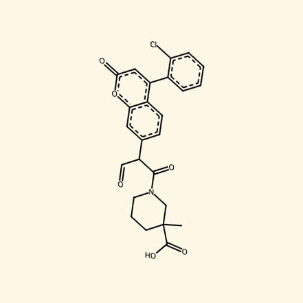 CC1(C(=O)O)CCCN(C(=O)C(C=O)c2ccc3c(-c4ccccc4Cl)cc(=O)oc3c2)C1